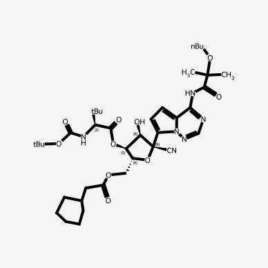 CCCCOC(C)(C)C(=O)Nc1ncnn2c([C@]3(C#N)O[C@H](COC(=O)CC4CCCCC4)[C@@H](OC(=O)[C@@H](NC(=O)OC(C)(C)C)C(C)(C)C)[C@H]3O)ccc12